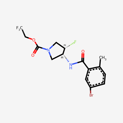 Cc1ccc(Br)cc1C(=O)N[C@@H]1CN(C(=O)OCC(F)(F)F)C[C@@H]1F